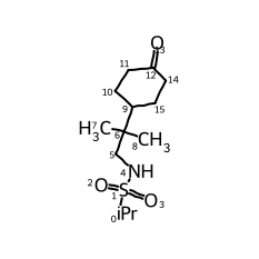 CC(C)S(=O)(=O)NCC(C)(C)C1CCC(=O)CC1